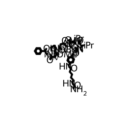 CC[C@H](C)[C@@H]([C@@H](CC(=O)N1CCC[C@H]1[C@H](OC)[C@@H](C)C(=O)N[C@H](C)C(O)c1ccccc1)OC)N(C)C(=O)[C@H](NC(=O)C(C(C)C)N(C)C(=O)OCc1ccc(NC(=O)CCCCNC(N)=O)cc1)C(C)C